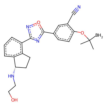 BC(C)(C)Oc1ccc(-c2nc(-c3cccc4c3CC[C@@H]4NCCO)no2)cc1C#N